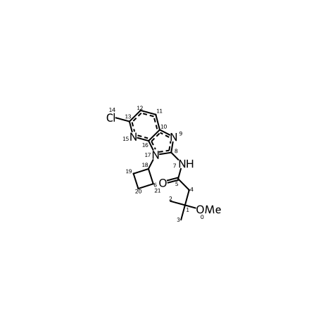 COC(C)(C)CC(=O)Nc1nc2ccc(Cl)nc2n1C1CCC1